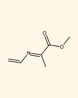 C=C/N=C(\C)C(=O)OC